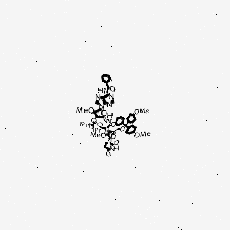 COc1ccc(C(OC[C@H]2O[C@@H](n3ccc(=O)[nH]c3=O)[C@H](OC)[C@@H]2CC(=O)NC[C@H]2O[C@@H](n3cnc4c(NC(=O)c5ccccc5)ncnc43)[C@H](OC)[C@@H]2OP(OCCC#N)N(C(C)C)C(C)C)(c2ccccc2)c2ccc(OC)cc2)cc1